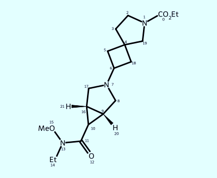 CCOC(=O)N1CCC2(CC(N3C[C@@H]4C(C(=O)N(CC)OC)[C@@H]4C3)C2)C1